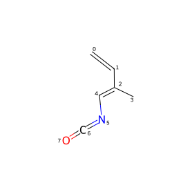 C=CC(C)=CN=C=O